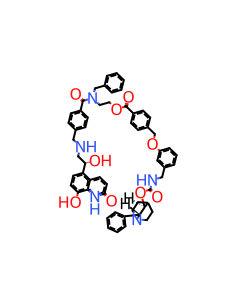 O=C(NCc1cccc(OCc2ccc(C(=O)OCCN(Cc3ccccc3)C(=O)c3ccc(CNC[C@H](O)c4ccc(O)c5[nH]c(=O)ccc45)cc3)cc2)c1)O[C@H]1C2CCN(CC2)[C@@H]1c1ccccc1